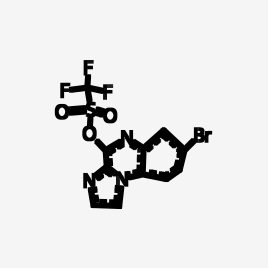 O=S(=O)(Oc1nc2cc(Br)ccc2n2ccnc12)C(F)(F)F